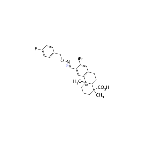 CC(C)c1cc2c(cc1/C=N/OCc1ccc(F)cc1)[C@@]1(C)CCCC(C)(C(=O)O)C1CC2